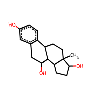 CC12CCC3c4ccc(O)cc4CC(O)C3C1CCC2O